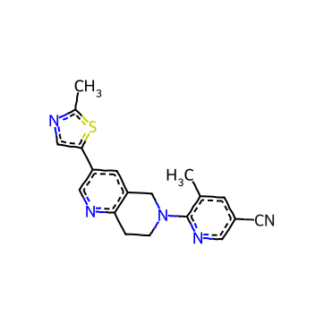 Cc1ncc(-c2cnc3c(c2)CN(c2ncc(C#N)cc2C)CC3)s1